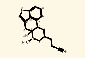 CN1CC(CCC#N)CC2c3cccc4[nH]cc(c34)C[C@H]21